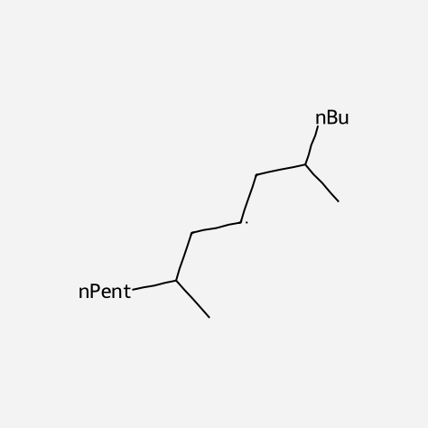 CCCCCC(C)C[CH]CC(C)CCCC